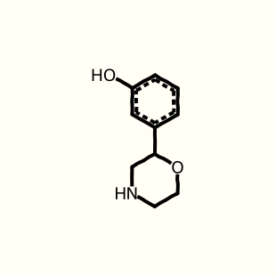 Oc1cccc(C2CNCCO2)c1